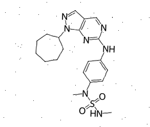 CNS(=O)(=O)N(C)c1ccc(Nc2ncc3cnn(C4CCCCCC4)c3n2)cc1